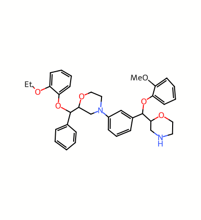 CCOc1ccccc1OC(c1ccccc1)C1CN(c2cccc(C(Oc3ccccc3OC)C3CNCCO3)c2)CCO1